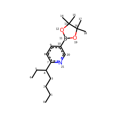 CCCCC(CC)c1ccc(B2OC(C)(C)C(C)(C)O2)cn1